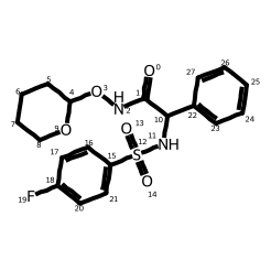 O=C(NOC1CCCCO1)C(NS(=O)(=O)c1ccc(F)cc1)c1ccccc1